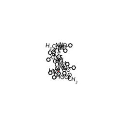 CC(=O)Oc1cc(C(=O)OC(c2ccccc2)c2ccccc2)c(CON=C(C(=O)N[C@@H]2C(=O)N3C(C(=O)OC(c4ccccc4)c4ccccc4)=C(CSC4C(=C=O)C(C)=Nc5nc(OC(c6ccccc6)c6ccccc6)nn54)CS[C@H]23)c2csc(NC(c3ccccc3)(c3ccccc3)c3ccccc3)n2)cc1O